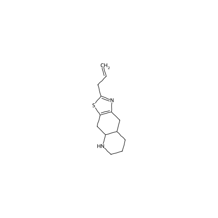 C=CCc1nc2c(s1)CC1NCCCC1C2